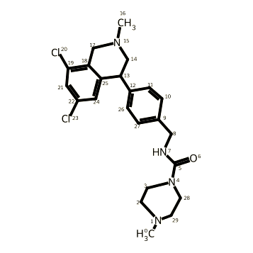 CN1CCN(C(=O)NCc2ccc(C3CN(C)Cc4c(Cl)cc(Cl)cc43)cc2)CC1